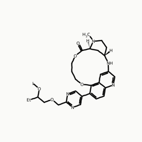 CCC(COCc1ncc(-c2ccc3ncc4cc3c2OCCCOC(=O)[C@@H]2C[C@H](CCN2C)N4)cn1)OI